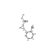 CCNC1CC1c1ccccc1Br